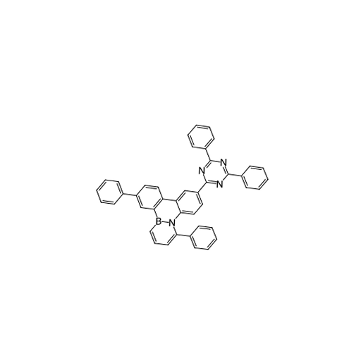 C1=CB2c3cc(-c4ccccc4)ccc3-c3cc(-c4nc(-c5ccccc5)nc(-c5ccccc5)n4)ccc3N2C(c2ccccc2)=C1